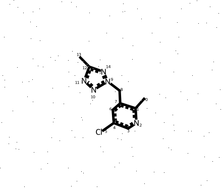 [CH2]c1ncc(Cl)cc1Cn1nnc(C)n1